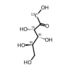 O=C([13CH2]O)[C@@H](O)[C@H](O)[C@H](O)CO